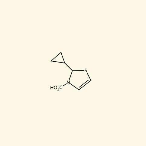 O=C(O)N1C=CSC1C1CC1